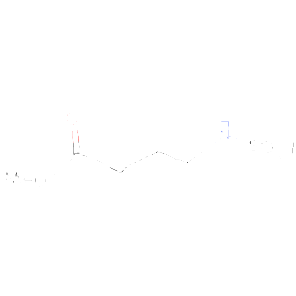 COC(=O)CCCNS(=O)(=O)O